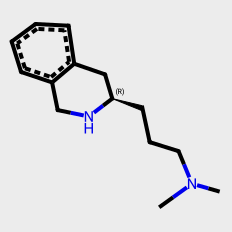 CN(C)CCC[C@@H]1Cc2ccccc2CN1